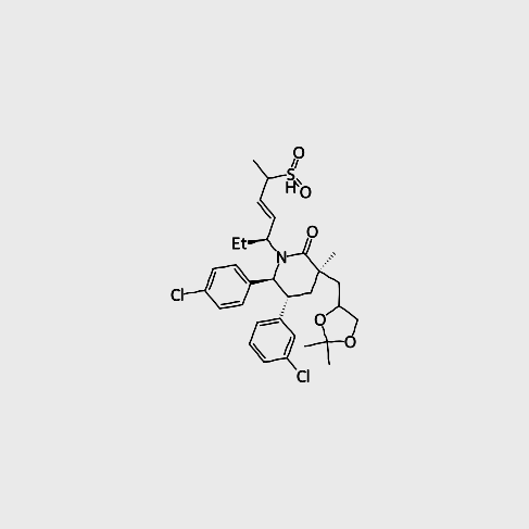 CC[C@@H](/C=C/C(C)[SH](=O)=O)N1C(=O)[C@@](C)(CC2COC(C)(C)O2)C[C@H](c2cccc(Cl)c2)[C@H]1c1ccc(Cl)cc1